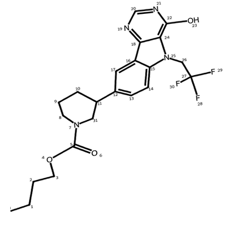 CCCCOC(=O)N1CCCC(c2ccc3c(c2)c2ncnc(O)c2n3CC(F)(F)F)C1